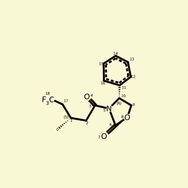 C[C@@H](CC(=O)N1C(=O)OC[C@H]1c1ccccc1)CC(F)(F)F